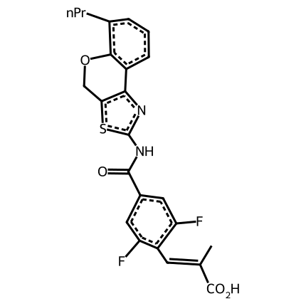 CCCc1cccc2c1OCc1sc(NC(=O)c3cc(F)c(C=C(C)C(=O)O)c(F)c3)nc1-2